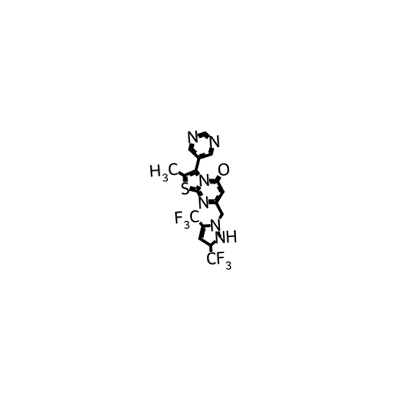 Cc1sc2nc(CN3NC(C(F)(F)F)C=C3C(F)(F)F)cc(=O)n2c1-c1cncnc1